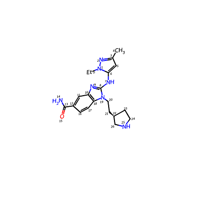 CCn1nc(C)cc1Nc1nc2cc(C(N)=O)ccc2n1CC[C@H]1CCNC1